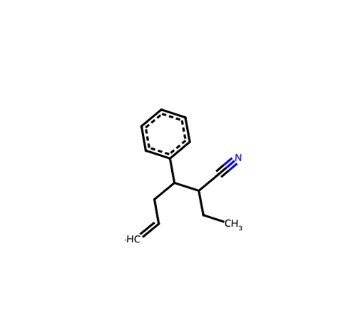 [CH]=CCC(c1ccccc1)C(C#N)CC